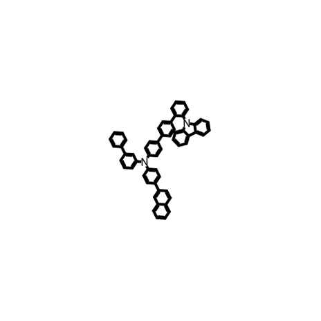 c1ccc(-c2cccc(N(c3ccc(-c4ccc(-c5ccccc5-n5c6ccccc6c6ccccc65)cc4)cc3)c3ccc(-c4ccc5ccccc5c4)cc3)c2)cc1